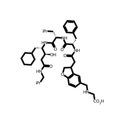 CC(C)CNC(=O)C[C@H](O)[C@H](CC1CCCCC1)NC(=O)[C@H](CC(C)C)NC(=O)[C@H](Cc1ccccc1)NC(=O)CC1COc2ccc(CNCC(=O)O)cc21